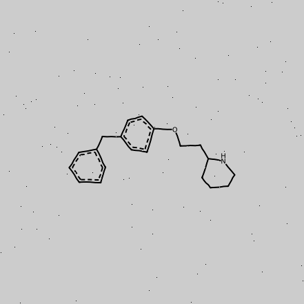 c1ccc(Cc2ccc(OCCC3CCCCN3)cc2)cc1